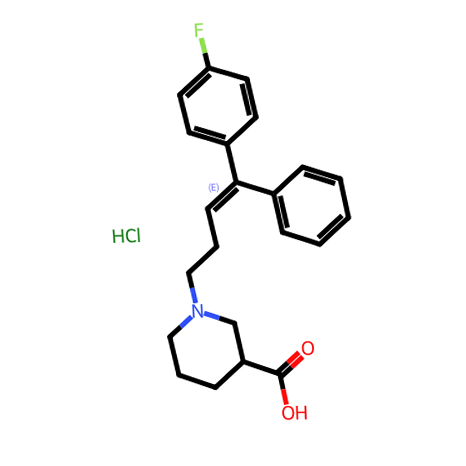 Cl.O=C(O)C1CCCN(CC/C=C(\c2ccccc2)c2ccc(F)cc2)C1